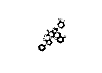 Cn1c(=O)n(C2CCN(c3ccccc3)C2=O)c(=O)c2c1nc(N1CCCC(N)C1)n2Cc1ccccc1Br